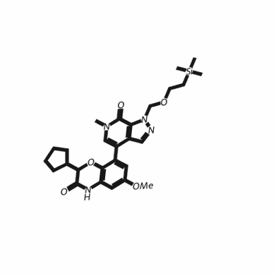 COc1cc2c(c(-c3cn(C)c(=O)c4c3cnn4COCC[Si](C)(C)C)c1)OC(C1CCCC1)C(=O)N2